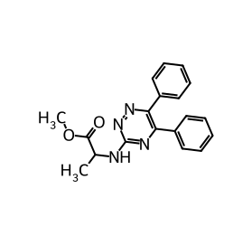 COC(=O)C(C)Nc1nnc(-c2ccccc2)c(-c2ccccc2)n1